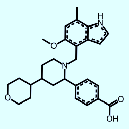 COc1cc(C)c2[nH]ccc2c1CN1CCC(C2CCOCC2)CC1c1ccc(C(=O)O)cc1